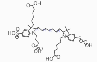 CC1(C)C(/C=C/C=C/C=C/C=C2\N(CCCS(=O)(=O)O)c3ccc(S(=O)(=O)O)cc3C2(C)CCCCCC(=O)O)=[N+](CCCCCC(=O)O)c2ccc(SOOO)cc21